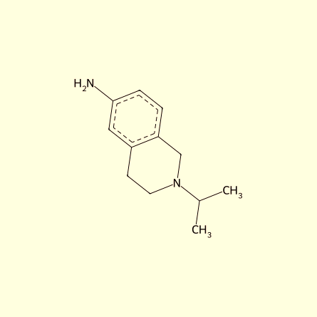 CC(C)N1CCc2cc(N)ccc2C1